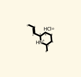 CC=CC1CCCC(C)N1.Cl